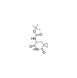 CC(C)(C)OC(=O)NC1CC2(CC2)C(=O)NC1=O